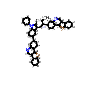 C=C/C(=C\c1c(C)n(-c2ccccc2)c2ccc(-c3ccc4c(c3)ncc3c5ccccc5sc43)cc12)c1ccc2c(c1)ncc1c3ccccc3sc21